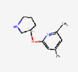 Cc1cc(C#N)cc(O[C@@H]2CCCNC2)n1